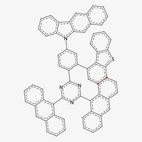 c1ccc2cc3c(cc2c1)c1ccccc1n3-c1ccc(-c2nc(-c3c4ccccc4cc4ccccc34)nc(-c3c4ccccc4cc4ccccc34)n2)c(-c2cccc3sc4ccccc4c23)c1